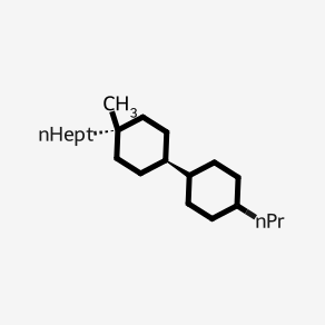 CCCCCCC[C@]1(C)CC[C@@H](C2CCC(CCC)CC2)CC1